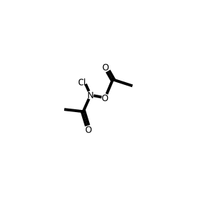 CC(=O)ON(Cl)C(C)=O